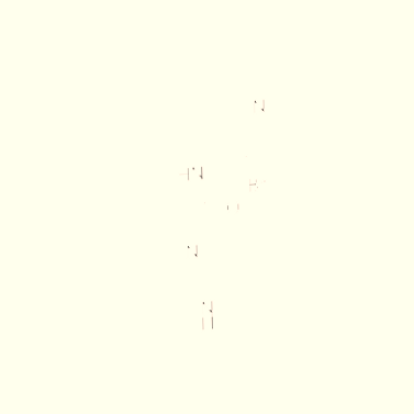 CC1CNCCN1CC(=O)Nc1c(Br)cnc2c1CCC2